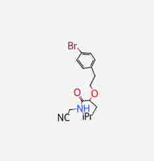 CC(C)CC(OCCc1ccc(Br)cc1)C(=O)NCC#N